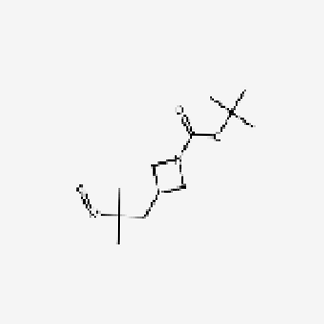 CC(C)(C)OC(=O)N1CC(CC(C)(C)[S+]=O)C1